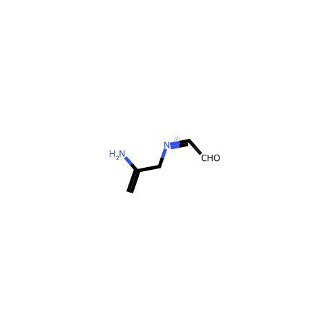 C=C(N)C/N=C\C=O